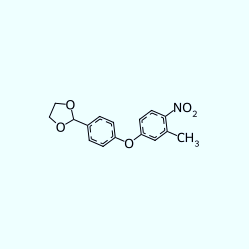 Cc1cc(Oc2ccc(C3OCCO3)cc2)ccc1[N+](=O)[O-]